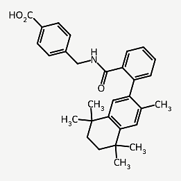 Cc1cc2c(cc1-c1ccccc1C(=O)NCc1ccc(C(=O)O)cc1)C(C)(C)CCC2(C)C